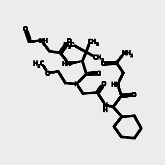 COCCN(CC(=O)NC(C(=O)NCC(N)=O)C1CCCCC1)C(=O)[C@@H](NC(=O)CNC=O)C(C)(C)C